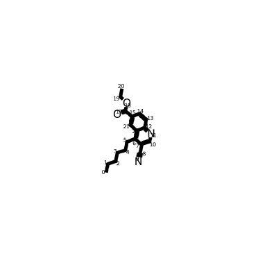 CCCCCCc1c(C#N)cnc2ccc(C(=O)OCC)cc12